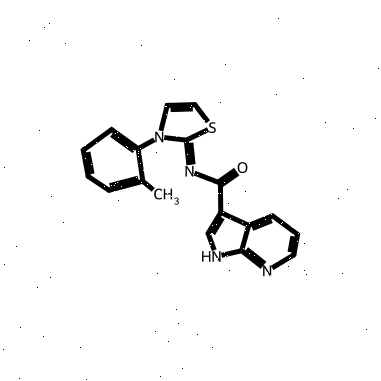 Cc1ccccc1-n1ccs/c1=N\C(=O)c1c[nH]c2ncccc12